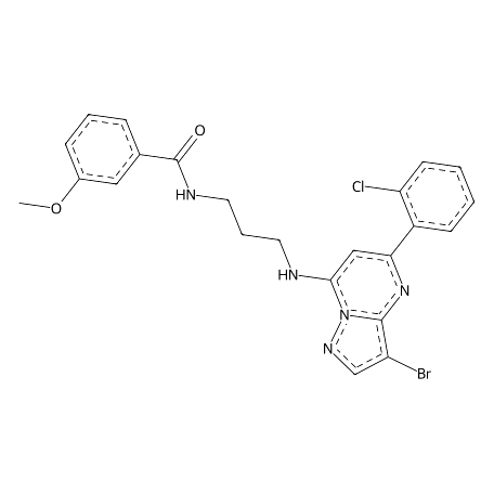 COc1cccc(C(=O)NCCCNc2cc(-c3ccccc3Cl)nc3c(Br)cnn23)c1